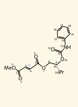 COC(=O)/C=C/C(=O)OC[C@H](OC(=O)Nc1ccccc1)C(C)C